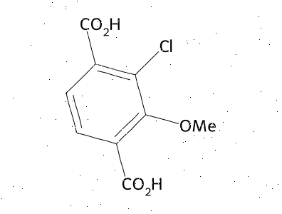 COc1c(C(=O)O)ccc(C(=O)O)c1Cl